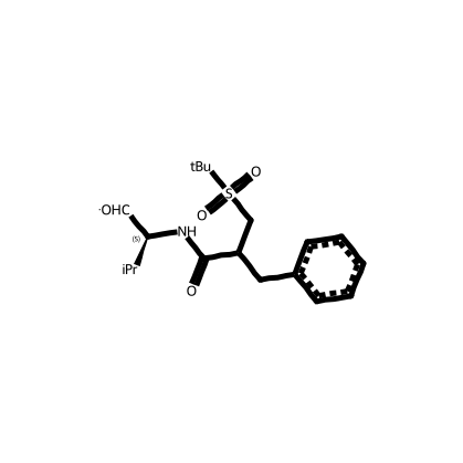 CC(C)[C@@H]([C]=O)NC(=O)C(Cc1ccccc1)CS(=O)(=O)C(C)(C)C